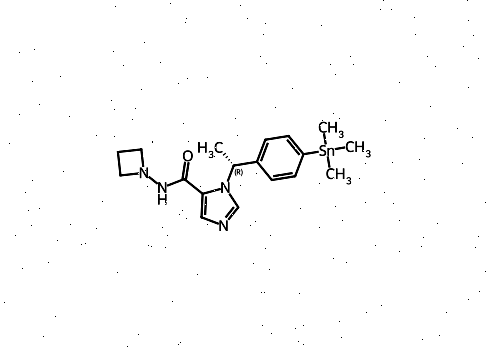 C[C@H](c1cc[c]([Sn]([CH3])([CH3])[CH3])cc1)n1cncc1C(=O)NN1CCC1